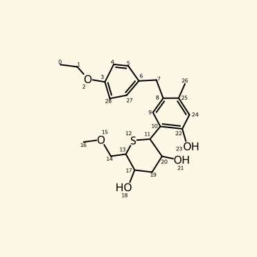 CCOc1ccc(Cc2cc(C3SC(COC)C(O)CC3O)c(O)cc2C)cc1